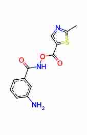 Cc1ncc(C(=O)ONC(=O)c2cccc(N)c2)s1